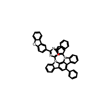 c1ccc(-c2nc(-c3ccc4oc5ccccc5c4c3)nc(-n3c4ccccc4c4cc(-c5ccccc5)c5c6ccccc6n(-c6ccccc6)c5c43)n2)cc1